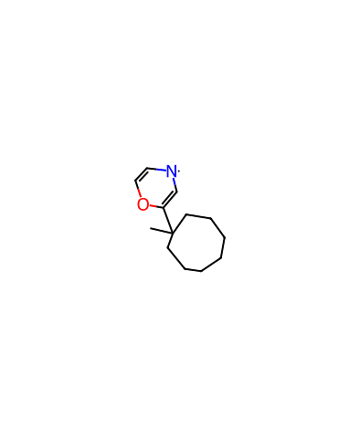 CC1(C2=C[N]C=CO2)CCCCCCC1